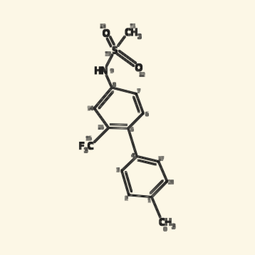 Cc1ccc(-c2ccc(NS(C)(=O)=O)cc2C(F)(F)F)cc1